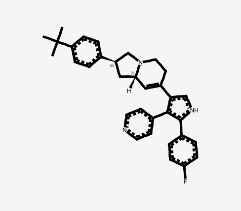 CC(C)(C)c1ccc([C@@H]2C[C@H]3C=C(c4c[nH]c(-c5ccc(F)cc5)c4-c4ccncc4)CCN3C2)cc1